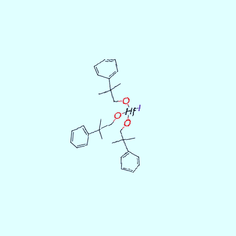 CC(C)(C[O][Hf]([I])([O]CC(C)(C)c1ccccc1)[O]CC(C)(C)c1ccccc1)c1ccccc1